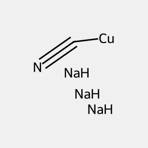 N#[C][Cu].[NaH].[NaH].[NaH]